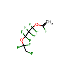 C=C(F)OC(F)(F)C(F)(F)C(F)(F)OC(F)(F)CF